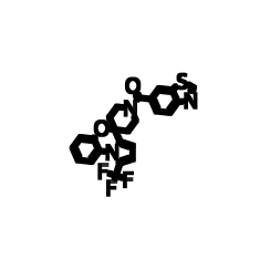 O=C(c1ccc2ncsc2c1)N1CCC2(CC1)Oc1ccccc1-n1c(C(F)(F)F)ccc12